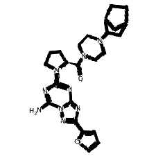 Nc1nc(N2CCC[C@H]2C(=O)N2CCN(C3CC4CCC3C4)CC2)nc2nc(-c3ccco3)nn12